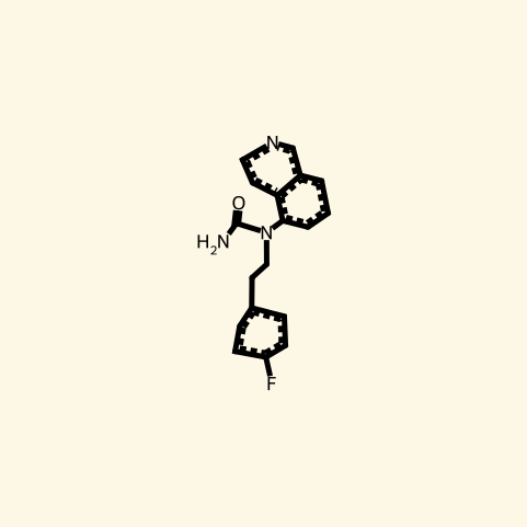 NC(=O)N(CCc1ccc(F)cc1)c1cccc2cnccc12